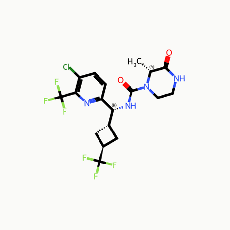 C[C@@H]1C(=O)NCCN1C(=O)N[C@@H](c1ccc(Cl)c(C(F)(F)F)n1)[C@H]1C[C@H](C(F)(F)F)C1